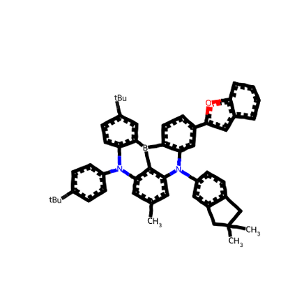 Cc1cc2c3c(c1)N(c1ccc4c(c1)CC(C)(C)C4)c1cc(-c4cc5ccccc5o4)ccc1B3c1cc(C(C)(C)C)ccc1N2c1ccc(C(C)(C)C)cc1